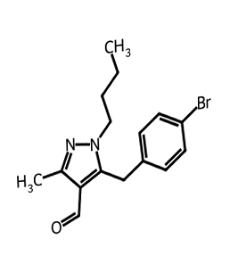 CCCCn1nc(C)c(C=O)c1Cc1ccc(Br)cc1